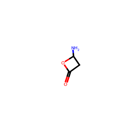 NC1CC(=O)O1